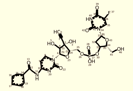 C#C[C@]1(O)C(O)[C@@H](n2ccc(NC(=O)c3ccccc3)nc2=O)O[C@H]1COP(=O)(O)OC1C[C@H](n2cc(F)c(=O)[nH]c2=O)O[C@@H]1CO